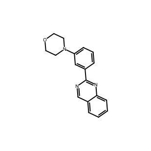 c1cc(-c2ncc3ccccc3n2)cc(N2CCOCC2)c1